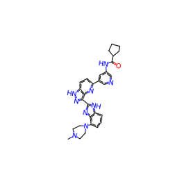 CN1CCN(c2cccc3[nH]c(-c4n[nH]c5ccc(-c6cncc(NC(=O)C7CCCC7)c6)nc45)nc23)CC1